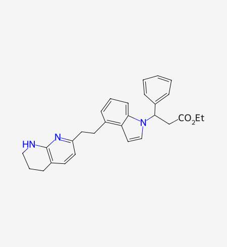 CCOC(=O)CC(c1ccccc1)n1ccc2c(CCc3ccc4c(n3)NCCC4)cccc21